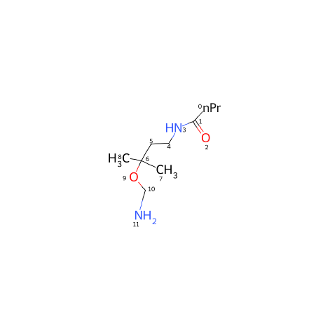 CCCC(=O)NCCC(C)(C)OCN